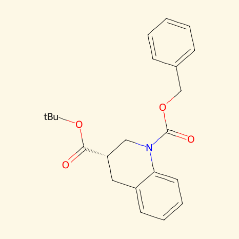 CC(C)(C)OC(=O)[C@H]1Cc2ccccc2N(C(=O)OCc2ccccc2)C1